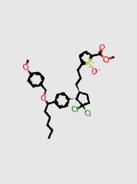 CCCCCC(OCc1ccc(OC)cc1)c1ccc([C@@H]2[C@@H](CCCc3ccc(C(=O)OC)[s+]3[O-])CCC2(Cl)Cl)cc1